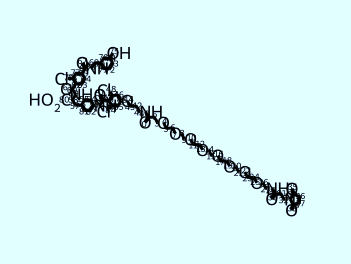 O=C(CCOCCOCCOCCOCCOCCOCCOCCOCCNC(=O)CCN1C(=O)C=CC1=O)NCCCOc1cc(Cl)c(C(=O)Nc2ccc(CC(NC(=O)c3ccc(C(=O)NCc4cccc(O)c4)cc3Cl)C(=O)O)cc2)c(Cl)c1